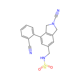 N#Cc1ccccc1-c1cc(CN[SH](=O)=O)cc2c1CN(C#N)C2